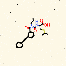 CCCN(C(=O)N[C@@H](CSC(C)C)C(=O)O)C(=O)c1cccc(C#Cc2ccccc2)c1